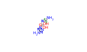 CN(C[C@H]1O[C@@H](n2cnc3c(N)ncnc32)C(O)C1O)CC(F)(F)CCN